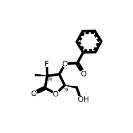 C[C@]1(F)C(=O)O[C@H](CO)C1OC(=O)c1ccccc1